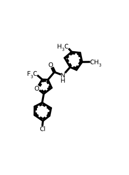 Cc1cc(C)cc(NC(=O)c2cc(-c3ccc(Cl)cc3)oc2C(F)(F)F)c1